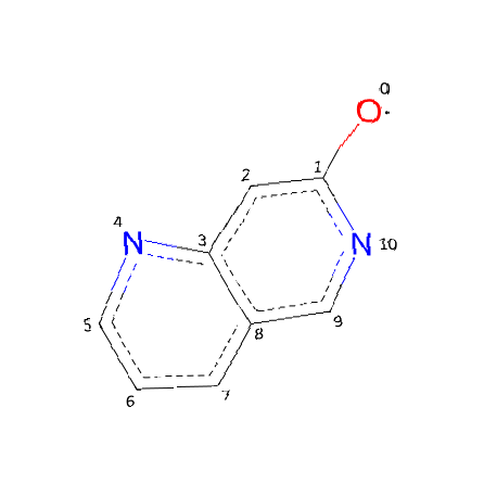 [O]c1cc2ncccc2cn1